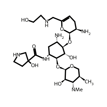 CN[C@@H]1[C@@H](O)[C@@H](O[C@@H]2[C@@H](O)[C@H](O[C@H]3OC(CNCCO)=CC[C@H]3N)[C@@H](N)C[C@H]2NC(=O)C2(O)CCNC2)OC[C@H]1C